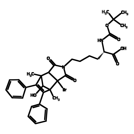 CC(C)(C)OC(=O)N[C@@H](CCCCN1C(=O)C2C3(C)C(c4ccccc4)=C(c4ccccc4)C(C)(C3O)C2(Br)C1=O)C(=O)O